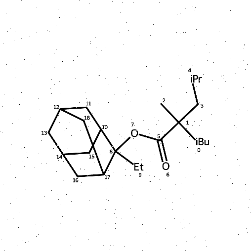 CCC(C)C(C)(CC(C)C)C(=O)OC1(CC)C2CC3CC(C2)CC1C3